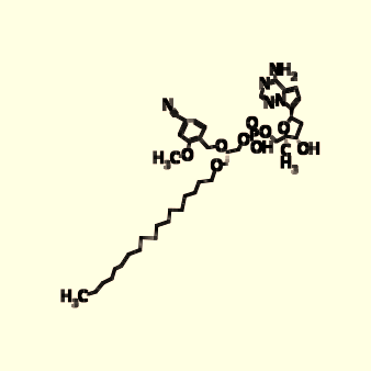 CCCCCCCCCCCCCCCCCCOC[C@@H](COP(=O)(O)OC[C@@]1(C)O[C@@H](c2ccc3c(N)ncnn23)C[C@@H]1O)OCc1ccc(C#N)cc1OC